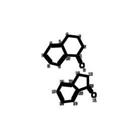 O=C1CCCc2ccccc21.O=C1CCc2ccccc21